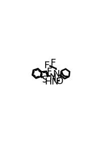 FC(F)(F)CN1N(c2cc3ccccc3s2)NO[C@@]12CC1CCC2CC1